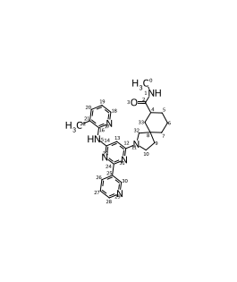 CNC(=O)C1CCCC2(CCN(c3cc(Nc4ncccc4C)nc(-c4cccnc4)n3)C2)C1